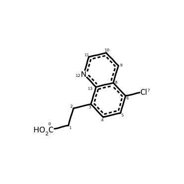 O=C(O)CCc1ccc(Cl)c2cccnc12